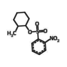 CC1CCCCC1OS(=O)(=O)c1ccccc1[N+](=O)[O-]